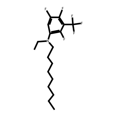 CCCCCCCCCN(CC)c1cc(F)c(F)c(C(F)(F)F)c1F